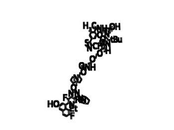 CCc1c(F)ccc2cc(O)cc(-c3ncc4c(N5CC6CCC(C5)N6)nc(OCC56CCCN5C(COC(=O)NCCOCCOCCC(=O)NC(C(=O)N5C[C@H](O)C[C@H]5C(=O)N[C@@H](C)c5ccc(-c7scnc7C)cc5)C(C)(C)C)CC6)nc4c3F)c12